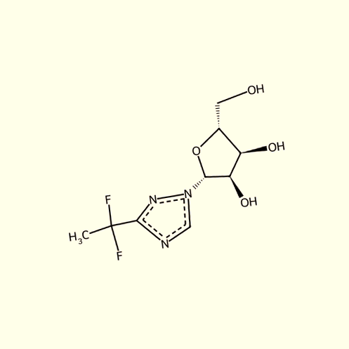 CC(F)(F)c1ncn([C@@H]2O[C@H](CO)[C@@H](O)[C@H]2O)n1